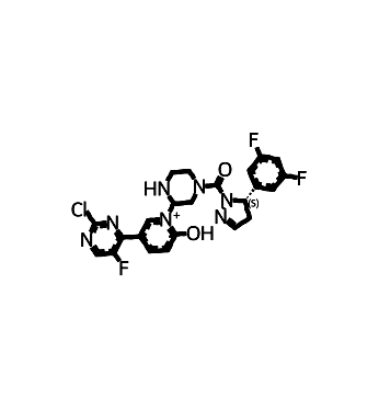 O=C(N1CCNC([n+]2cc(-c3nc(Cl)ncc3F)ccc2O)C1)N1N=CC[C@H]1c1cc(F)cc(F)c1